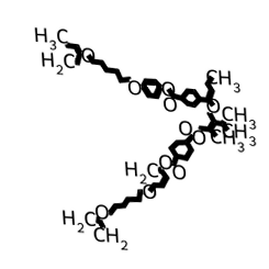 C=CC(=C)OCCCCCCOC/C=C\C(=C)OC(=O)C1CCC(C(=O)OC/C(C)=C(\CO/C(=C/CC)C2CCC(C(=O)Oc3ccc(OCCCCCCO/C(C=C)=C/CC)cc3)CC2)C(C)C)CC1